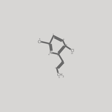 C/C=C/c1nc(Cl)ccc1Cl